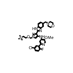 COc1cnc(-c2cc(Cl)ccc2F)cc1Nc1cn(COCC[Si](C)(C)C)nc1-c1nc2cc(CN3CCOCC3)ccc2[nH]1